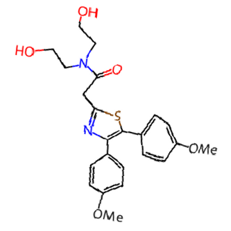 COc1ccc(-c2nc(CC(=O)N(CCO)CCO)sc2-c2ccc(OC)cc2)cc1